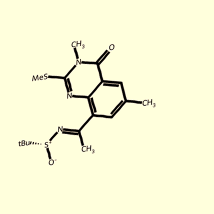 CSc1nc2c(C(C)=N[S@+]([O-])C(C)(C)C)cc(C)cc2c(=O)n1C